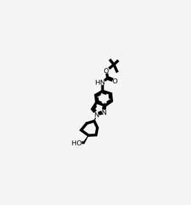 CC(C)(C)OC(=O)Nc1ccc2nn([C@H]3CC[C@H](CO)CC3)cc2c1